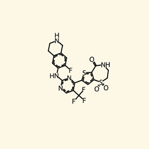 O=C1NCCS(=O)(=O)c2cc(-c3nc(Nc4cc5c(cc4F)CNCC5)ncc3C(F)(F)F)sc21